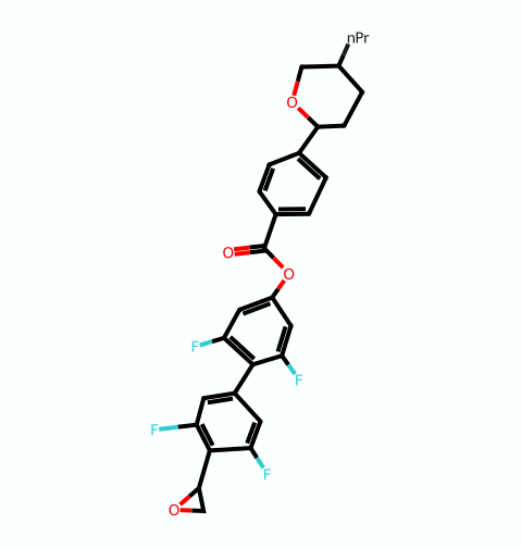 CCCC1CCC(c2ccc(C(=O)Oc3cc(F)c(-c4cc(F)c(C5CO5)c(F)c4)c(F)c3)cc2)OC1